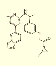 Cc1nc(NC(C)c2cccc(OCC(=O)N3CC3C)c2)cc(-c2ccc3ncsc3c2)n1